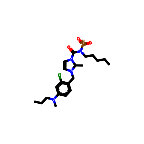 CCCCCN(C(=O)N1C=CN(Cc2ccc(N(C)CCC)cc2Cl)C1C)[SH](=O)=O